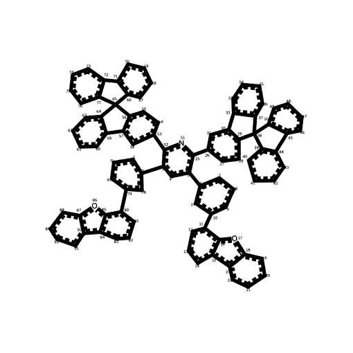 c1cc(-c2cc(-c3cccc(-c4cccc5c4oc4ccccc45)c3)c(-c3ccc4c(c3)-c3ccccc3C43c4ccccc4-c4ccccc43)nc2-c2ccc3c(c2)-c2ccccc2C32c3ccccc3-c3ccccc32)cc(-c2cccc3c2oc2ccccc23)c1